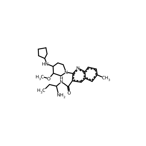 CCC(N)NC(=O)c1cc2cc(C)ccc2nc1N1CCC(NC2CCCC2)C(OC)C1